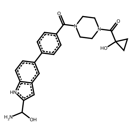 NC(O)c1cc2cc(-c3ccc(C(=O)N4CCN(C(=O)C5(O)CC5)CC4)cc3)ccc2[nH]1